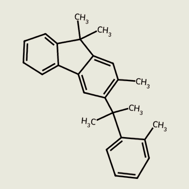 Cc1ccccc1C(C)(C)c1cc2c(cc1C)C(C)(C)c1ccccc1-2